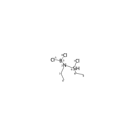 CCN(B(Cl)Cl)[SiH](Cl)CC